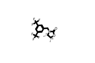 C[C@H]1OC(=O)N(Cc2cc(C(F)(F)F)cc(C(F)(F)F)c2)[C@H]1C